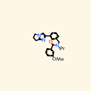 COc1cccc(C(=O)N(Cc2cccc(-c3cn4c(n3)CCC4)c2)C(C)C)c1